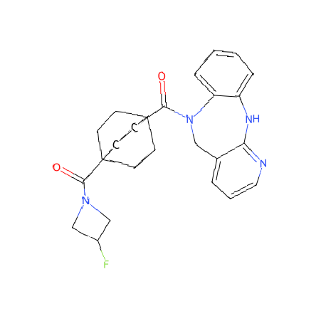 O=C(N1CC(F)C1)C12CCC(C(=O)N3Cc4cccnc4Nc4ccccc43)(CC1)CC2